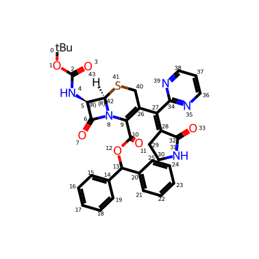 CC(C)(C)OC(=O)N[C@@H]1C(=O)N2C(C(=O)OC(c3ccccc3)c3ccccc3)=C(C(=C3CCNC3=O)c3ncccn3)CS[C@H]12